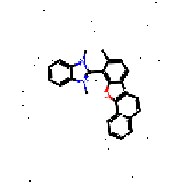 Cc1ccc2c(oc3c4ccccc4ccc23)c1-c1n(C)c2ccccc2[n+]1C